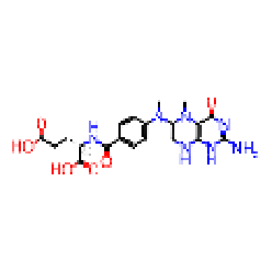 CN(c1ccc(C(=O)N[C@@H](CCC(=O)O)C(=O)O)cc1)C1CNc2[nH]c(N)nc(=O)c2N1C